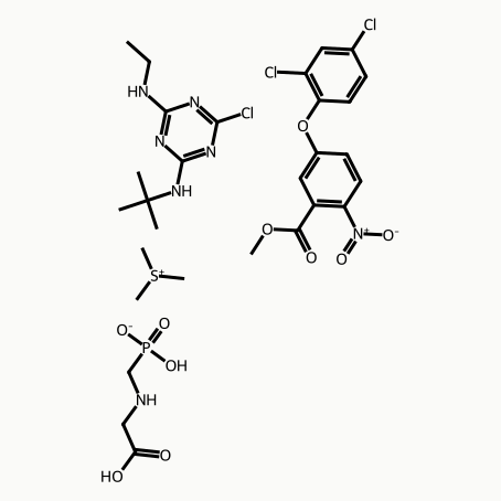 CCNc1nc(Cl)nc(NC(C)(C)C)n1.COC(=O)c1cc(Oc2ccc(Cl)cc2Cl)ccc1[N+](=O)[O-].C[S+](C)C.O=C(O)CNCP(=O)([O-])O